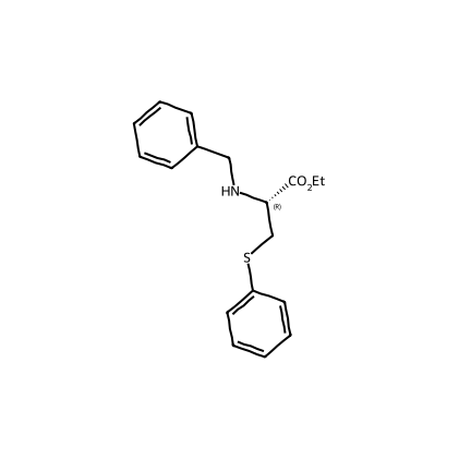 CCOC(=O)[C@H](CSc1ccccc1)NCc1ccccc1